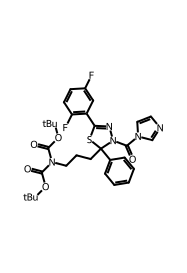 CC(C)(C)OC(=O)N(CCCC1(c2ccccc2)SC(c2cc(F)ccc2F)=NN1C(=O)n1ccnc1)C(=O)OC(C)(C)C